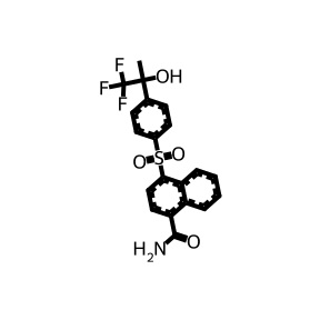 CC(O)(c1ccc(S(=O)(=O)c2ccc(C(N)=O)c3ccccc23)cc1)C(F)(F)F